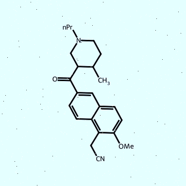 CCCN1CCC(C)C(C(=O)c2ccc3c(CC#N)c(OC)ccc3c2)C1